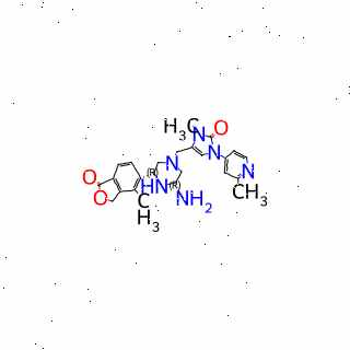 Cc1cc(-n2cc(CN3C[C@@H](c4ccc5c(c4C)COC5=O)N[C@@H](N)C3)n(C)c2=O)ccn1